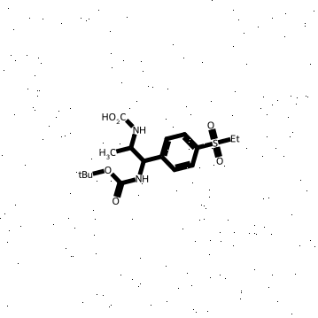 CCS(=O)(=O)c1ccc(C(NC(=O)OC(C)(C)C)C(C)NC(=O)O)cc1